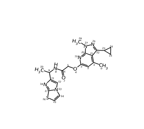 Cc1cc(OCC(=O)NC(C)c2cn3ccsc3n2)nc2c1c(C1CC1)nn2C